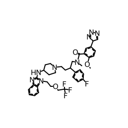 COc1ccc(C2C=NN=N2)cc1C(=O)N(C)CC(CCN1CCC(Nc2nc3ccccc3n2CCOCC(F)(F)F)CC1)c1ccc(F)cc1